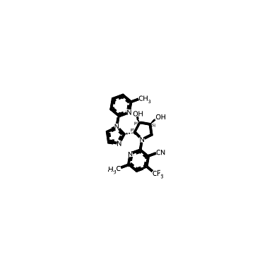 Cc1cccc(-n2ccnc2[C@@H]2[C@@H](O)[C@@H](O)CN2c2nc(C)cc(C(F)(F)F)c2C#N)n1